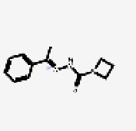 C/C(=N\NC(=S)N1CCC1)c1ccccc1